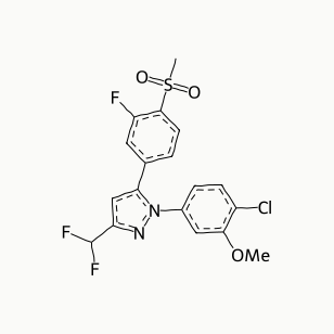 COc1cc(-n2nc(C(F)F)cc2-c2ccc(S(C)(=O)=O)c(F)c2)ccc1Cl